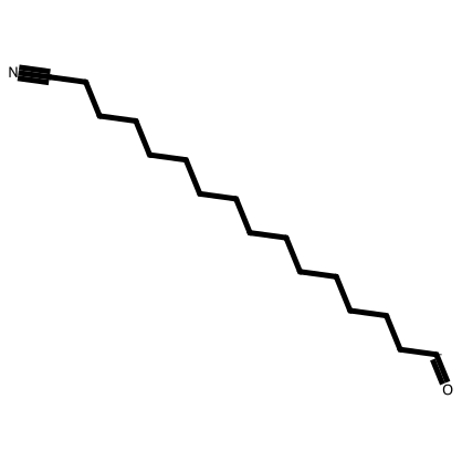 N#CCCCCCCCCCCCCCC[C]=O